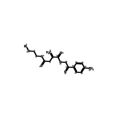 C=C(CC(=O)OCCOCC)C(=O)OCC(=O)c1ccc(C)cc1